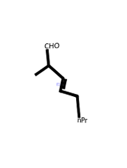 CCCC/C=C/C(C)C=O